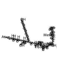 CCC(=O)NC(CCCCCC(=O)CCC(CCC(=O)NC(CCCCNC(=O)CCNC(=O)NCCSSCCCC(C)=O)C(=O)CCCO)COCCOCCOCCOCCOCCOCCOCCO)C(=O)NC(CSC1CC(=O)N(CCC(=O)NCC(NC=O)NC(=O)C(C)CCCCCC(=O)Cc2ccc(OC(=O)CCN3C(=O)C=CC3=O)c(OC)c2)C1=O)C(N)=O